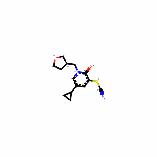 N#CSc1cc(C2CC2)cn(CC2CCOC2)c1=O